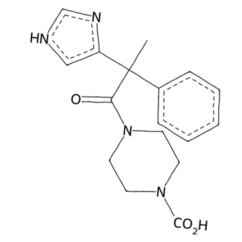 CC(C(=O)N1CCN(C(=O)O)CC1)(c1ccccc1)c1c[nH]cn1